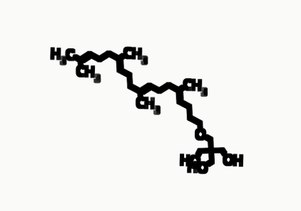 CC(C)=CCCC(C)=CCCC(C)=CCCC(C)=CCCCOCC(CO)(CO)CO